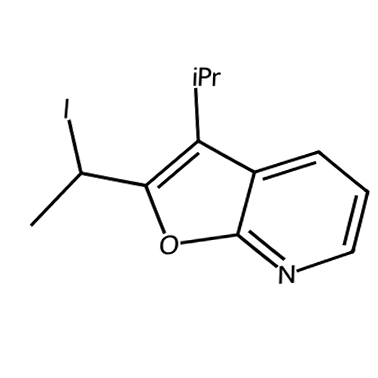 CC(C)c1c(C(C)I)oc2ncccc12